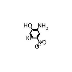 Nc1cc([N+](=O)[O-])ccc1O.[KH]